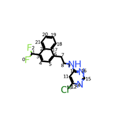 FC(F)c1ccc(CCNc2cc(Cl)ncn2)c2ccccc12